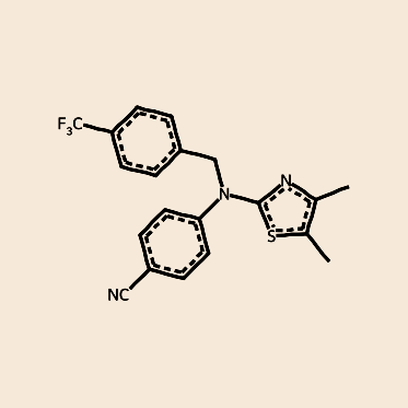 Cc1nc(N(Cc2ccc(C(F)(F)F)cc2)c2ccc(C#N)cc2)sc1C